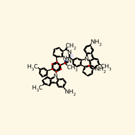 C=C(/N=C(\N=C(/C)c1ccc(-c2cccc(C)c2)c(-n2c3ccc(C)cc3c3cc(N)ccc32)c1)c1ccc(-c2cccc(N)c2)c(-n2c3ccc(C)cc3c3cc(N)ccc32)c1)c1cccc(-c2ccccc2C#N)c1